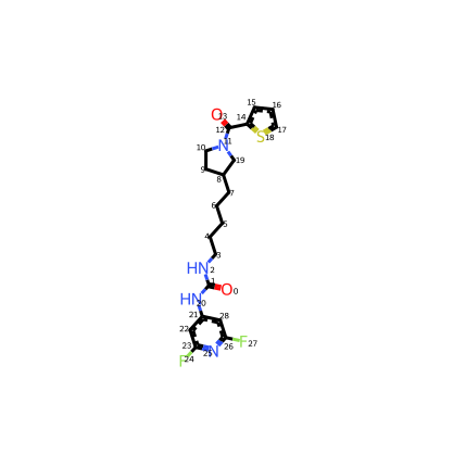 O=C(NCCCCCC1CCN(C(=O)c2cccs2)C1)Nc1cc(F)nc(F)c1